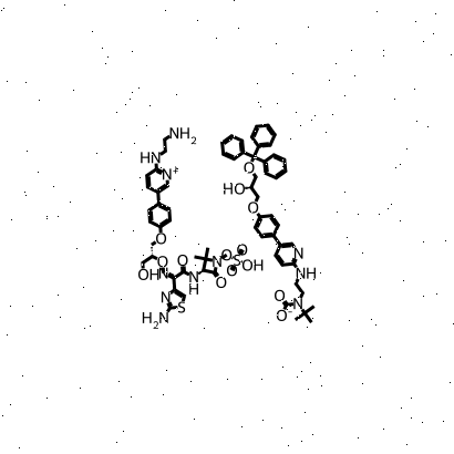 CC(C)(C)N(CCNc1ccc(-c2ccc(OC[C@@H](O)COC(c3ccccc3)(c3ccccc3)c3ccccc3)cc2)cn1)C(=O)[O-].C[n+]1cc(-c2ccc(OC[C@@H](CO)O/N=C(\C(=O)N[C@@H]3C(=O)N(OS(=O)(=O)O)C3(C)C)c3csc(N)n3)cc2)ccc1NCCN